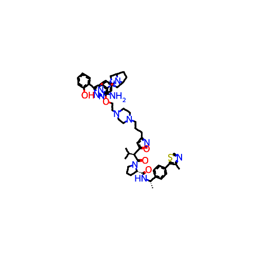 Cc1ncsc1-c1ccc([C@H](C)NC(=O)[C@@H]2CCCN2C(=O)[C@H](c2cc(CCCN3CCN(CCOc4cc(N5C6CCC5CN(c5cc(-c7ccccc7O)nnc5N)C6)ccn4)CC3)no2)C(C)C)cc1